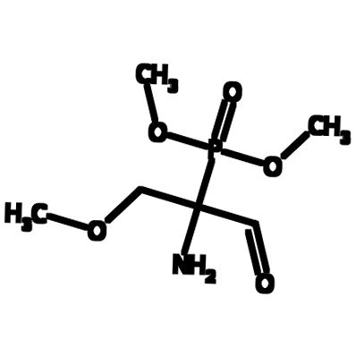 COCC(N)(C=O)P(=O)(OC)OC